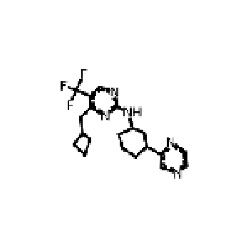 FC(F)(F)c1cnc(NC2CCCC(c3cnccn3)C2)nc1CC1CCC1